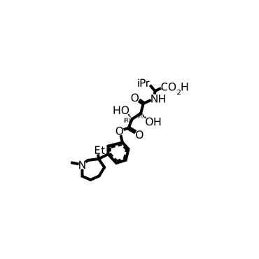 CCC1(c2cccc(OC(=O)[C@H](O)[C@@H](O)C(=O)NC(C(=O)O)C(C)C)c2)CCCCN(C)C1